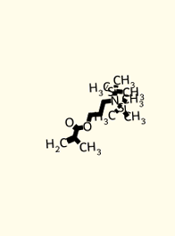 C=C(C)C(=O)OCCCN([Si](C)(C)C)[Si](C)(C)C